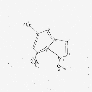 Cc1cc([N+](=O)[O-])c2c(ccn2C)c1